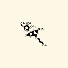 CC(=O)Nc1nc(OCCCOC(C)=O)c2sc(=O)n([C@@H]3O[C@H](COC(C)=O)[C@@H](OC(C)=O)[C@H]3OC(C)=O)c2n1